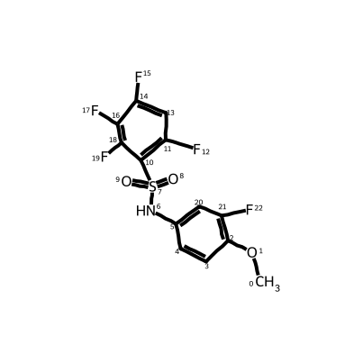 COc1ccc(NS(=O)(=O)c2c(F)cc(F)c(F)c2F)cc1F